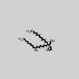 CCCCCCCC/C=C\CCCCCCC(CCCCCCCCCCCC)C(CCO)[N+]1=CNCC1.[Cl-]